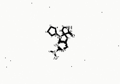 C[S+]([O-])c1ncc2c(n1)N(C1CCCC1)C1(CCNC1=O)C2